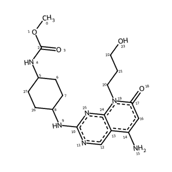 COC(=O)NC1CCC(Nc2ncc3c(N)cc(=O)n(CCCO)c3n2)CC1